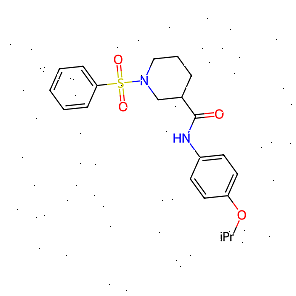 CC(C)Oc1ccc(NC(=O)C2CCCN(S(=O)(=O)c3ccccc3)C2)cc1